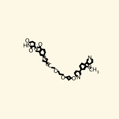 Cn1c2ccncc2c2ccc(-c3ccc(OC4CC(OCCCOCCCOC5CN(c6ccc7c(c6)CN(C6CCC(=O)NC6=O)C7=O)C5)C4)nc3)cc21